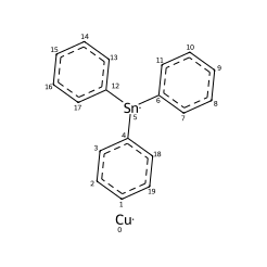 [Cu].c1cc[c]([Sn]([c]2ccccc2)[c]2ccccc2)cc1